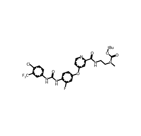 CN(CCNC(=O)c1cc(Oc2ccc(NC(=O)Nc3ccc(Cl)c(C(F)(F)F)c3)c(F)c2)ccn1)C(=O)OC(C)(C)C